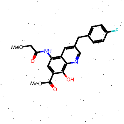 COCC(=O)Nc1cc(C(=O)OC)c(O)c2ncc(Cc3ccc(F)cc3)cc12